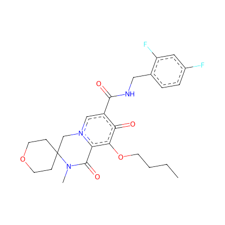 CCCCOc1c2n(cc(C(=O)NCc3ccc(F)cc3F)c1=O)CC1(CCOCC1)N(C)C2=O